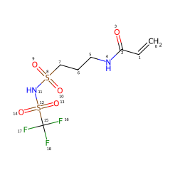 C=CC(=O)NCCCS(=O)(=O)NS(=O)(=O)C(F)(F)F